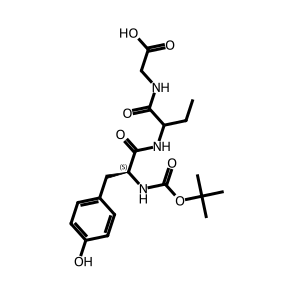 CCC(NC(=O)[C@H](Cc1ccc(O)cc1)NC(=O)OC(C)(C)C)C(=O)NCC(=O)O